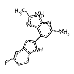 Cc1nc2c(-c3cc4cc(F)ccc4[nH]3)cc(N)nc2[nH]1